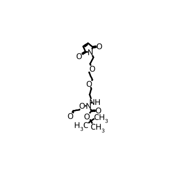 CC(C)(C)OC(=O)N(NCCOCCOCCN1C(=O)C=CC1=O)OCC=O